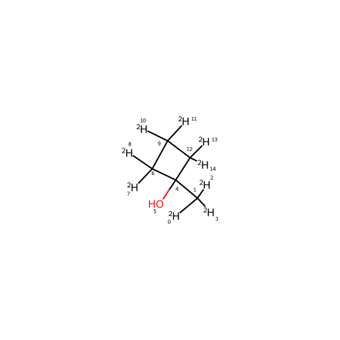 [2H]C([2H])([2H])C1(O)C([2H])([2H])C([2H])([2H])C1([2H])[2H]